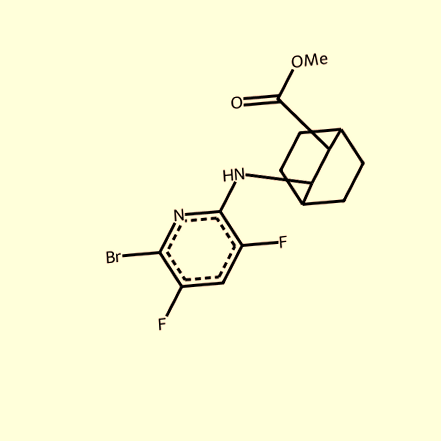 COC(=O)C1C2CCC(CC2)C1Nc1nc(Br)c(F)cc1F